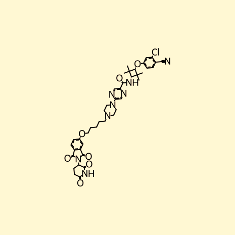 CC1(C)[C@H](NC(=O)c2cnc(N3CCN(CCCCCOc4ccc5c(c4)C(=O)N(C4CCC(=O)NC4=O)C5=O)CC3)cn2)C(C)(C)[C@H]1Oc1ccc(C#N)c(Cl)c1